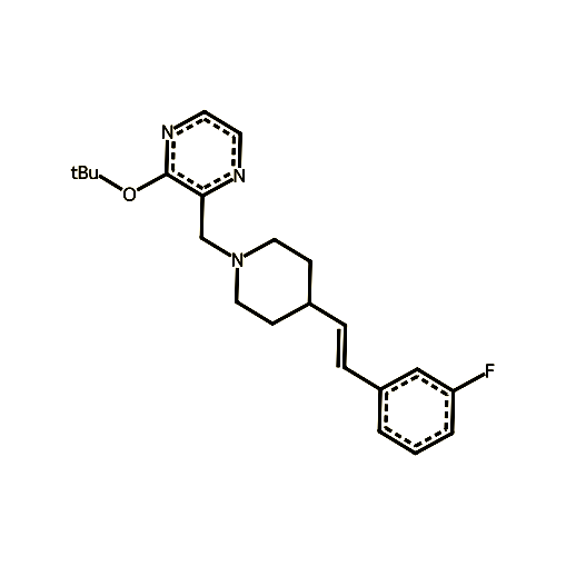 CC(C)(C)Oc1nccnc1CN1CCC(C=Cc2cccc(F)c2)CC1